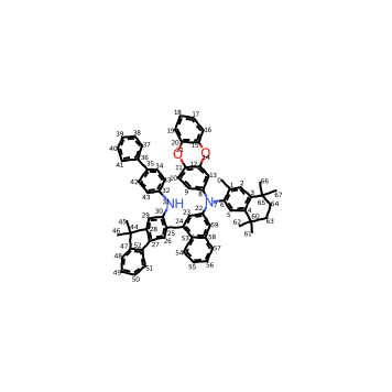 Cc1cc2c(cc1N(c1ccc3c(c1)Oc1ccccc1O3)c1cc(-c3cc4c(cc3Nc3ccc(-c5ccccc5)cc3)C(C)(C)c3ccccc3-4)c3ccccc3c1)C(C)(C)CCC2(C)C